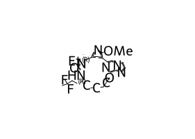 CCN1C(=O)N[C@@H](CCC(C)(F)F)CCCCCOc2nc(cn3ccnc23)-c2cc(cnc2OC)[C@H]1C